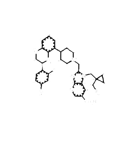 O=C(O)c1cnc2nc(CN3CCC(c4cccc5c4O[C@@H](c4ccc(Cl)cc4F)CO5)CC3)n(CC3(CF)CC3)c2c1